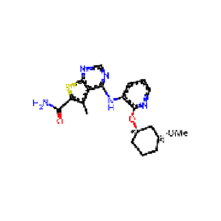 CO[C@@H]1CCC[C@@H](Oc2ncccc2Nc2ncnc3sc(C(N)=O)c(C)c23)C1